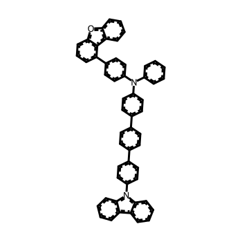 c1ccc(N(c2ccc(-c3ccc(-c4ccc(-n5c6ccccc6c6ccccc65)cc4)cc3)cc2)c2ccc(-c3cccc4oc5ccccc5c34)cc2)cc1